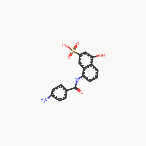 Nc1ccc(C(=O)Nc2cccc3c(O)cc(S(=O)(=O)O)cc23)cc1